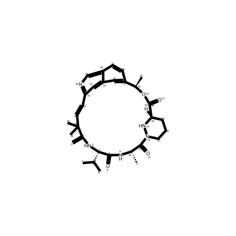 C=C1N[C@@H](C(C)C)C(=O)N[C@@H](C)C(=O)N2CCC[C@H](N2)C(=O)O[C@H](C)c2ccc3cnc(cc3c2)/C=C/C1(C)C